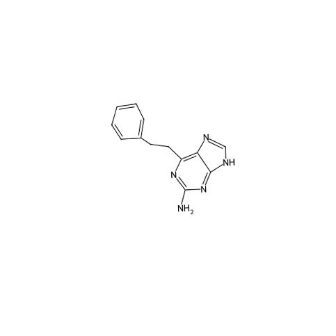 Nc1nc(CCc2ccccc2)c2nc[nH]c2n1